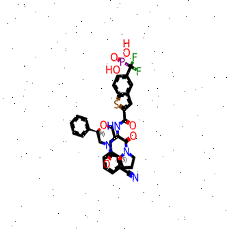 N#Cc1cccc(CC(NC(=O)c2cc3cc(C(F)(F)P(=O)(O)O)ccc3s2)C(=O)N2CCC[C@H]2C(=O)N2CCO[C@H](c3ccccc3)C2)c1